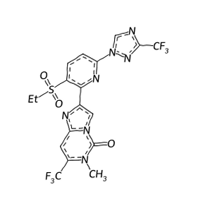 CCS(=O)(=O)c1ccc(-n2cnc(C(F)(F)F)n2)nc1-c1cn2c(=O)n(C)c(C(F)(F)F)cc2n1